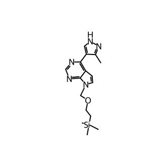 Cc1n[nH]cc1-c1ncnc2c1ccn2COCC[Si](C)(C)C